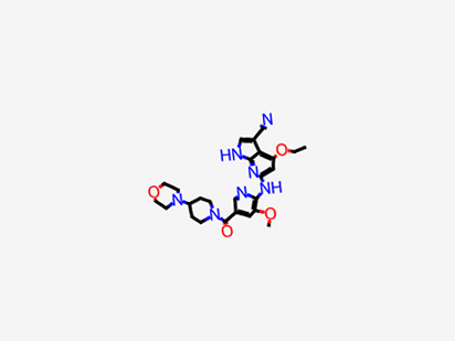 CCOc1cc(Nc2ncc(C(=O)N3CCC(N4CCOCC4)CC3)cc2OC)nc2[nH]cc(C#N)c12